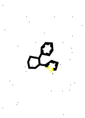 c1ccc(C2CCCCC2c2cccs2)cc1